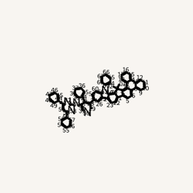 CC1(C)c2c(ccc3c4ccccc4c4ccccc4c23)-c2ccc3c4cc(-c5cncc6c5c5ccccc5n6-c5nc(-c6ccccc6)cc(-c6ccccc6)n5)ccc4n(-c4ccccc4)c3c21